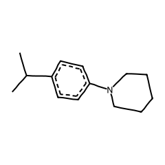 CC(C)c1ccc(N2CCCCC2)cc1